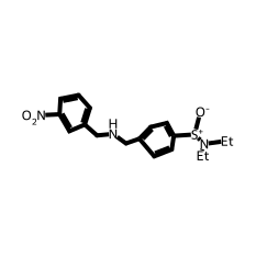 CCN(CC)[S+]([O-])c1ccc(CNCc2cccc([N+](=O)[O-])c2)cc1